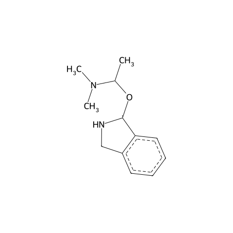 CC(O[C]1NCc2ccccc21)N(C)C